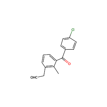 Cc1c(CC=O)cccc1C(=O)c1ccc(Cl)cc1